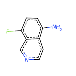 Nc1ccc(F)c2cnccc12